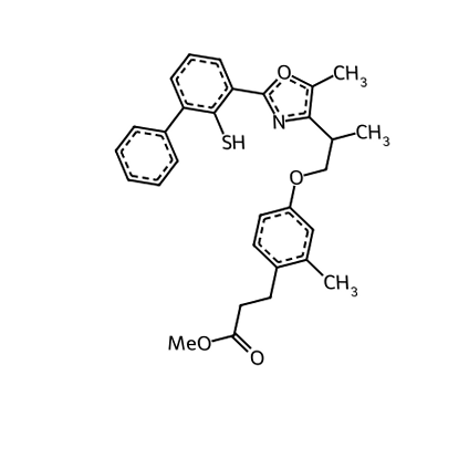 COC(=O)CCc1ccc(OCC(C)c2nc(-c3cccc(-c4ccccc4)c3S)oc2C)cc1C